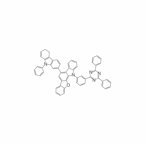 C1=Cc2c(c3ccc(-c4cc5c6ccccc6oc5c5c4c4ccccc4n5-c4cccc(-c5nc(-c6ccccc6)nc(-c6ccccc6)n5)c4)cc3n2-c2ccccc2)CC1